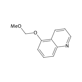 COCOc1cccc2ncccc12